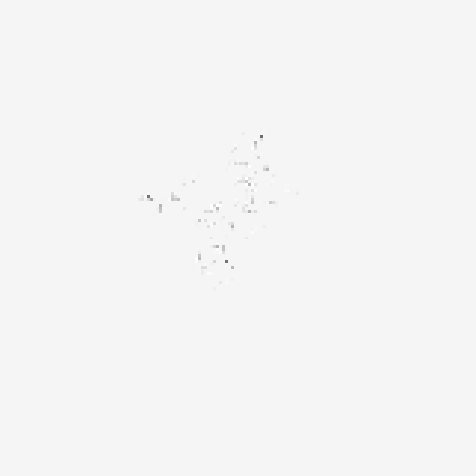 CC(=O)Nc1nccc(-c2sc(C3CCCN(C(=O)OC(C)(C)C)C3)nc2-c2cccc(-c3ccccc3NS(=O)(=O)c3cc(F)ccc3F)c2F)n1